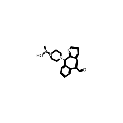 CB(O)N1CCN([C@H]2c3ccccc3C(C=O)=Cc3cccnc32)CC1